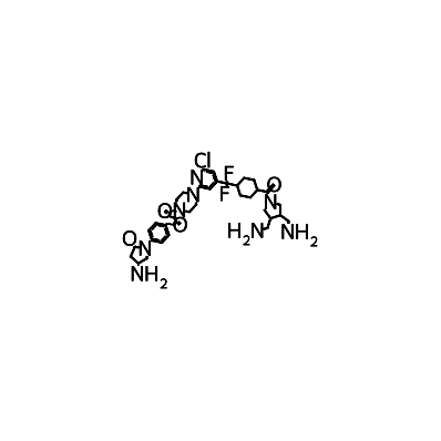 NCC1CN(C(=O)C2CCC(C(F)(F)c3cc(Cl)nc(N4CCN(S(=O)(=O)c5ccc(N6C[C@H](N)CC6=O)cc5)CC4)c3)CC2)CC1CN